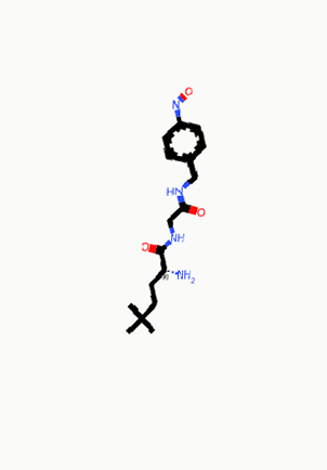 CC(C)(C)CC[C@@H](N)C(=O)NCC(=O)NCc1ccc(N=O)cc1